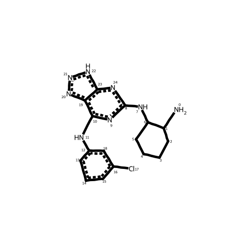 NC1CCCCC1Nc1nc(Nc2cccc(Cl)c2)c2nn[nH]c2n1